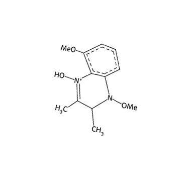 COc1cccc2c1[N+](O)=C(C)C(C)N2OC